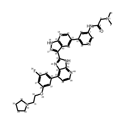 CN(C)CC(=O)Nc1cncc(-c2cnc3[nH]nc(-c4nc5c(-c6cc(F)cc(OCCN7CCCC7)c6)ccnc5[nH]4)c3c2)c1